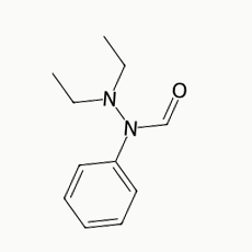 CCN(CC)N(C=O)c1ccccc1